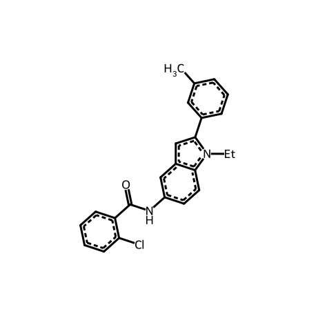 CCn1c(-c2cccc(C)c2)cc2cc(NC(=O)c3ccccc3Cl)ccc21